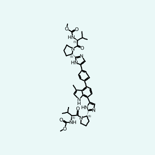 COC(=O)N[C@H](C(=O)N1CCC[C@H]1c1ncc(-c2ccc(-c3ccc(-c4cnc([C@@H]5CCCN5C(=O)[C@@H](NC(=O)OC)C(C)C)[nH]4)c4[nH]cc(C)c34)cc2)[nH]1)C(C)C